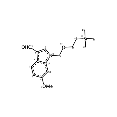 COc1ccc2c(C=O)cn(COCC[Si](C)(C)C)c2c1